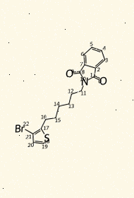 O=C1c2ccccc2C(=O)N1CCCCCCc1sccc1Br